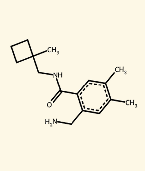 Cc1cc(CN)c(C(=O)NCC2(C)CCC2)cc1C